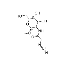 CO[C@H]1OC(CO)[C@H](O)C(O)C1NC(=O)CN=[N+]=[N-]